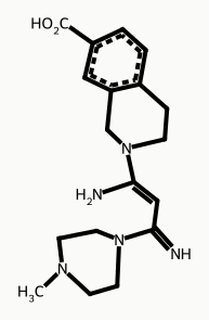 CN1CCN(C(=N)/C=C(\N)N2CCc3ccc(C(=O)O)cc3C2)CC1